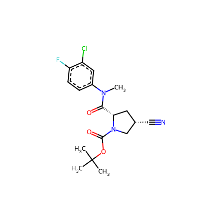 CN(C(=O)[C@@H]1C[C@H](C#N)CN1C(=O)OC(C)(C)C)c1ccc(F)c(Cl)c1